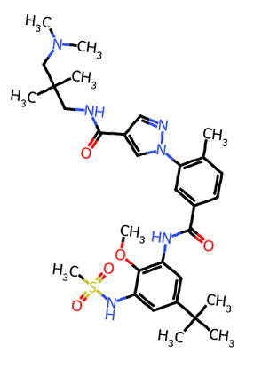 COc1c(NC(=O)c2ccc(C)c(-n3cc(C(=O)NCC(C)(C)CN(C)C)cn3)c2)cc(C(C)(C)C)cc1NS(C)(=O)=O